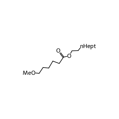 CCCCCCCCCOC(=O)CCCCCOC